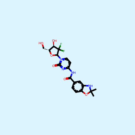 CC1(C)Nc2cc(C(=O)Nc3ccn(C4O[C@H](CO)[C@@H](O)C4(F)F)c(=O)n3)ccc2O1